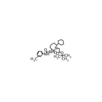 Cc1cccc(NC(=O)NC2CCCC(C3CCCCC3)N(CC(=O)OC(C)(C)C)C2=O)c1